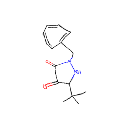 CC(C)(C)C1NN(Cc2ccccc2)C(=O)C1=O